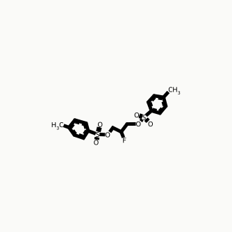 Cc1ccc(S(=O)(=O)OCC(F)COS(=O)(=O)c2ccc(C)cc2)cc1